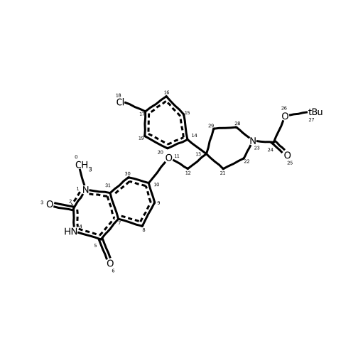 Cn1c(=O)[nH]c(=O)c2ccc(OCC3(c4ccc(Cl)cc4)CCN(C(=O)OC(C)(C)C)CC3)cc21